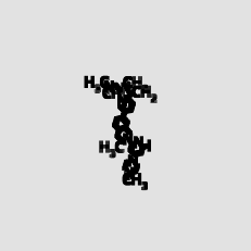 C=C(c1ccc(-c2ccc3c(c2)CN(c2cc(N4CCN(C)CC4)cc(I)n2)C(C)C3)cn1)N(C)CCN(C)C